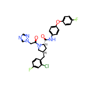 O=C(Nc1ccc(Oc2ccc(F)cc2)cc1)[C@@H]1C[C@@H](Cc2ccc(F)cc2Cl)CN1C(=O)Cn1cncn1